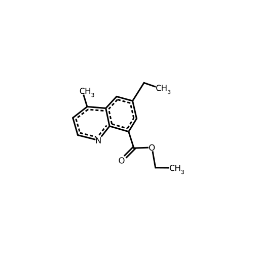 CCOC(=O)c1cc(CC)cc2c(C)ccnc12